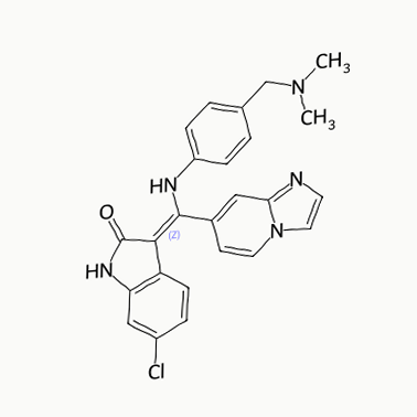 CN(C)Cc1ccc(N/C(=C2\C(=O)Nc3cc(Cl)ccc32)c2ccn3ccnc3c2)cc1